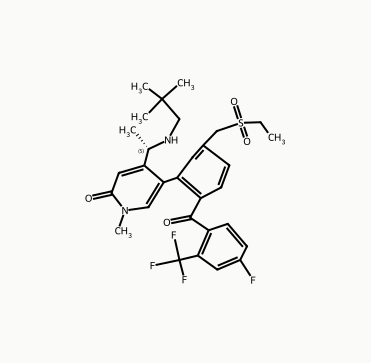 CCS(=O)(=O)Cc1ccc(C(=O)c2ccc(F)cc2C(F)(F)F)c(-c2cn(C)c(=O)cc2[C@H](C)NCC(C)(C)C)c1